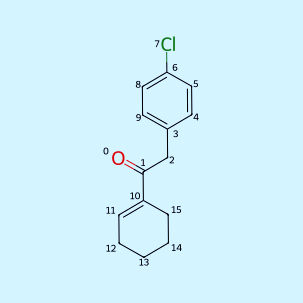 O=C(Cc1ccc(Cl)cc1)C1=CCCCC1